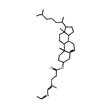 C/C=N\C=C(/C)CCC(=O)OC1CCC2(C)C(=CCC3C2CCC2(C)C(C(C)CCCC(C)C)CCC32)C1